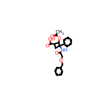 CC(=O)OC1C(C(=O)O)CC1(NC(=O)COCc1ccccc1)c1ccccc1